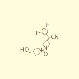 N#CC(=C1CCN(C(=O)N2CCC(CO)CC2)CC1)c1cc(F)cc(F)c1